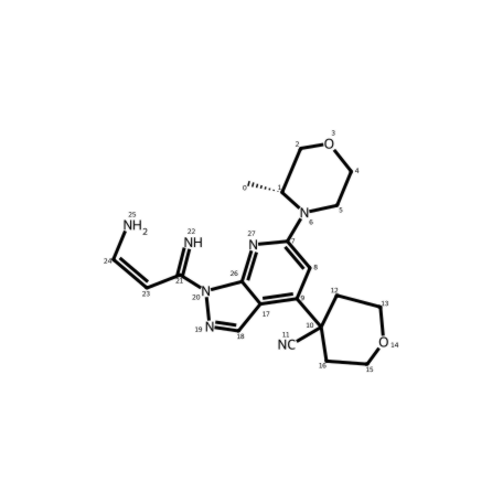 C[C@@H]1COCCN1c1cc(C2(C#N)CCOCC2)c2cnn(C(=N)/C=C\N)c2n1